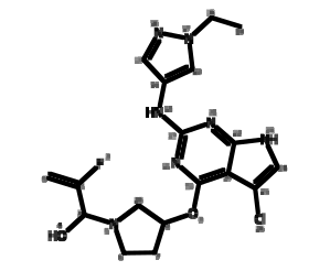 C=C(F)C(O)N1CCC(Oc2nc(Nc3cnn(CC)c3)nc3[nH]cc(Cl)c23)C1